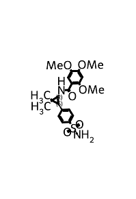 COc1cc(OC)c(C(=O)N[C@@H]2[C@@H](c3ccc(S(N)(=O)=O)cc3)C2(C)C)cc1OC